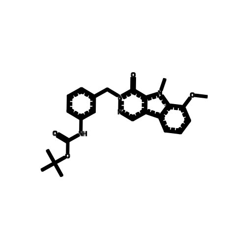 COc1cccc2c3cnn(Cc4cccc(NC(=O)OC(C)(C)C)c4)c(=O)c3n(C)c12